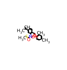 CSC(=O)N(O)c1cc(C(C)C)ccc1COc1ccc(C)cc1C